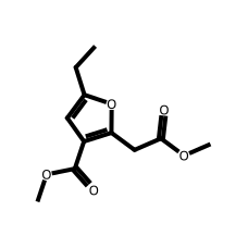 CCc1cc(C(=O)OC)c(CC(=O)OC)o1